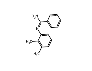 Cc1cccc(N=C(c2ccccc2)[N+](=O)[O-])c1C